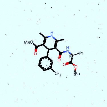 COC(=O)C1=C(C)NC(C)=C(C(=O)N[C@H](C(=O)OC(C)(C)C)C(C)C)C1c1cccc(C(F)(F)F)c1